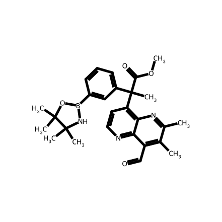 COC(=O)C(C)(c1cccc(B2NC(C)(C)C(C)(C)O2)c1)c1ccnc2c(C=O)c(C)c(C)nc12